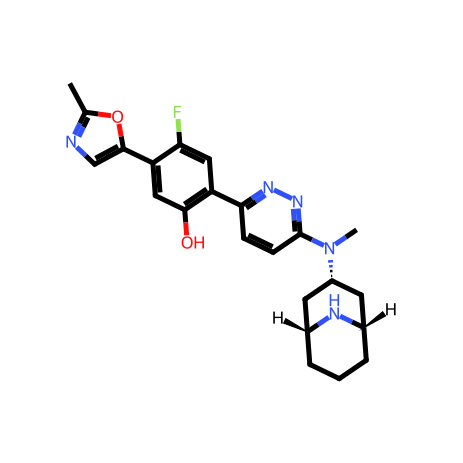 Cc1ncc(-c2cc(O)c(-c3ccc(N(C)[C@H]4C[C@H]5CCC[C@@H](C4)N5)nn3)cc2F)o1